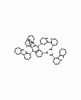 c1ccc(-c2nc(-c3cccc4oc5ccccc5c34)nc(-c3cccc4oc5ccc(-c6ccc(-c7cccc8c9ccccc9n(-c9ccccc9)c78)c7oc8ccccc8c67)cc5c34)n2)cc1